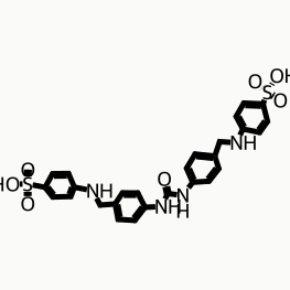 O=C(Nc1ccc(CNc2ccc(S(=O)(=O)O)cc2)cc1)Nc1ccc(CNc2ccc(S(=O)(=O)O)cc2)cc1